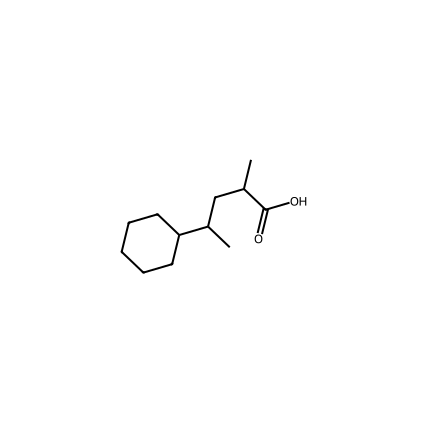 CC(CC(C)C1CCCCC1)C(=O)O